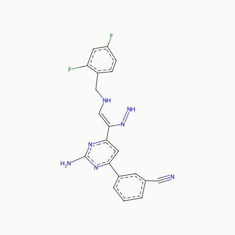 N#Cc1cccc(-c2cc(/C(=C/NCc3ccc(F)cc3F)N=N)nc(N)n2)c1